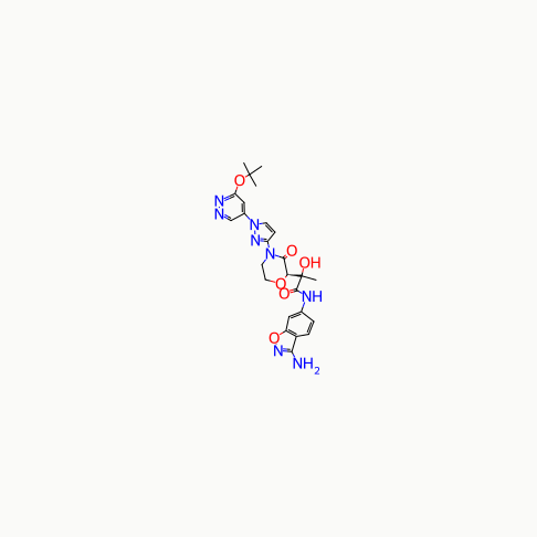 CC(C)(C)Oc1cc(-n2ccc(N3CCO[C@H](C(C)(O)C(=O)Nc4ccc5c(N)noc5c4)C3=O)n2)cnn1